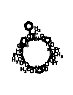 CC(C)C1NC(=O)[C@@H]2CCCN2C(=O)[C@H]([C@H](C)Cc2ccccc2)NC(=O)[C@@H]2CCCN2C(=O)[C@@H](C(C)C)N(C)C(=O)[C@H](C(C)C)OC(=O)[C@@H]2CCCN2C(=O)[C@H](C)OC(=O)[C@@H]1C